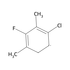 CC1=C(F)C(C)=C(Cl)[CH]C1